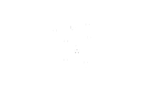 [O]=[U+2]=[O].[O]=[W](=[O])([O-])[O-]